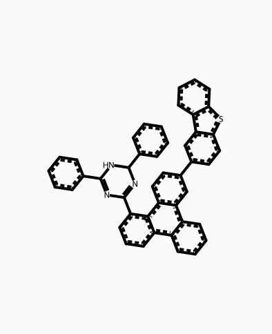 c1ccc(C2=NC(c3cccc4c5ccccc5c5cc(-c6ccc7sc8ccccc8c7c6)ccc5c34)=NC(c3ccccc3)N2)cc1